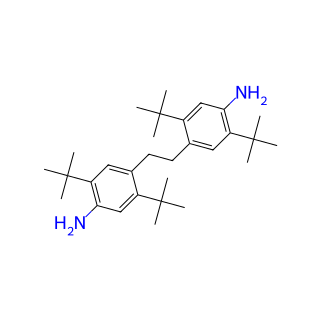 CC(C)(C)c1cc(CCc2cc(C(C)(C)C)c(N)cc2C(C)(C)C)c(C(C)(C)C)cc1N